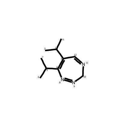 CC(C)C1=C(C(C)C)N=NCN=C1